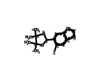 CC1(C)OB(c2cc3ocnc3cc2F)OC1(C)C